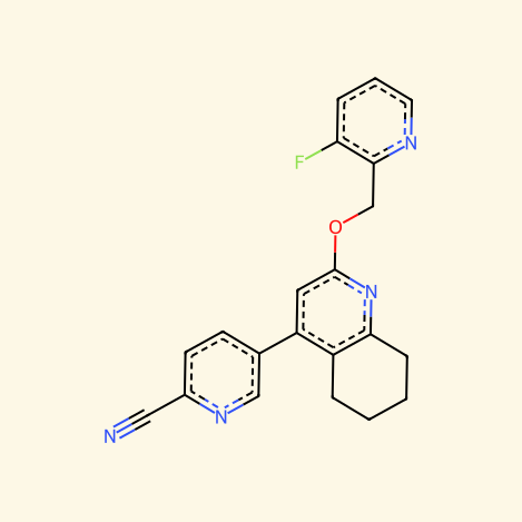 N#Cc1ccc(-c2cc(OCc3ncccc3F)nc3c2CCCC3)cn1